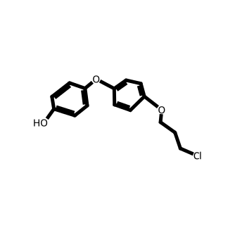 Oc1ccc(Oc2ccc(OCCCCl)cc2)cc1